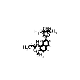 C=CC(=O)Nc1c(OC)ccc2ccc(B3OC(C)(C)C(C)(C)O3)cc12